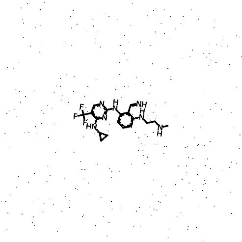 CNCCNc1cccc(Nc2ncc(C(F)(F)F)c(NC3CC3)n2)c1C=N